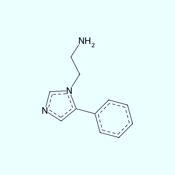 NCCn1cncc1-c1ccccc1